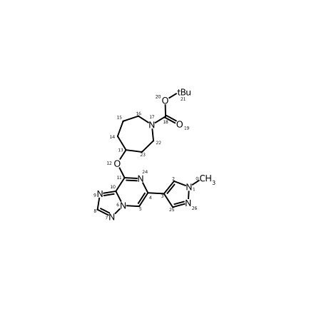 Cn1cc(-c2cn3ncnc3c(OC3CCCN(C(=O)OC(C)(C)C)CC3)n2)cn1